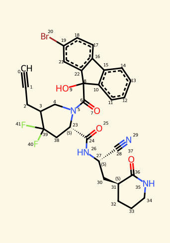 C#CCC1CN(C(=O)C2(O)c3ccccc3-c3ccc(Br)cc32)[C@H](C(=O)N[C@H](C#N)C[C@@H]2CCCNC2=O)CC1(F)F